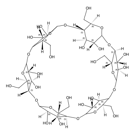 OC[C@H]1OC2O[C@H]3[C@H](O)[C@@H](O)C(O[C@H]4[C@H](O)[C@@H](O)C(OC5[C@@H](CO)OC(O[C@H]6[C@H](O)[C@@H](O)C(O[C@H]7[C@H](O)[C@@H](O)C(OC1[C@H](O)[C@H]2O)O[C@@H]7CO)O[C@@H]6CO)[C@H](O)[C@H]5O)O[C@@H]4CO)O[C@@H]3CO